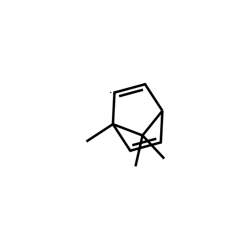 CC12[C]=CC(C=C1)C2(C)C